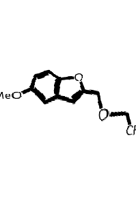 COc1ccc2oc(COCC(F)(F)F)cc2c1